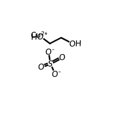 O=S(=O)([O-])[O-].OCCO.[Cu+2]